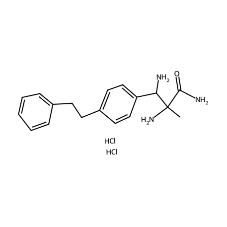 CC(N)(C(N)=O)C(N)c1ccc(CCc2ccccc2)cc1.Cl.Cl